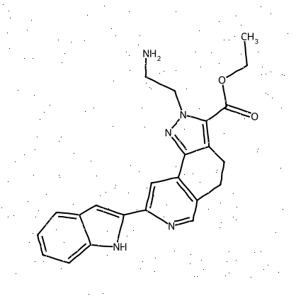 CCOC(=O)c1c2c(nn1CCN)-c1cc(-c3cc4ccccc4[nH]3)ncc1CC2